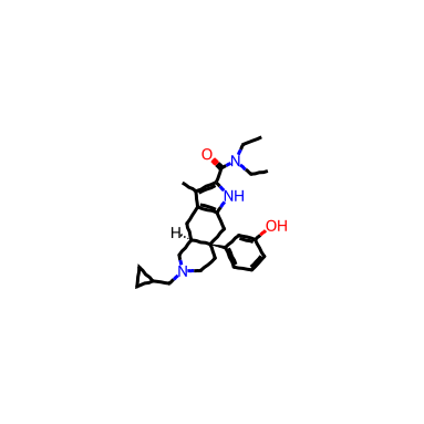 CCN(CC)C(=O)c1[nH]c2c(c1C)C[C@@H]1CN(CC3CC3)CC[C@@]1(c1cccc(O)c1)C2